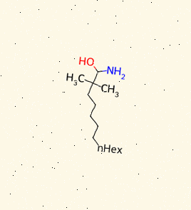 CCCCCCCCCCCC(C)(C)C(N)O